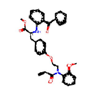 C=CC(=O)N(CCOc1ccc(C[C@H](Nc2ccccc2C(=O)c2ccccc2)C(=O)OC)cc1)c1ccccc1OC